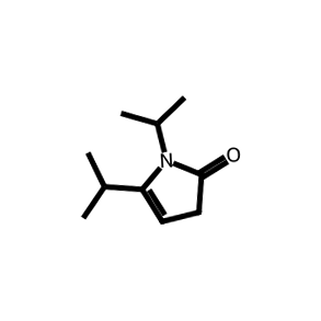 CC(C)C1=CCC(=O)N1C(C)C